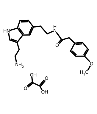 COc1ccc(CC(=O)NCCc2ccc3[nH]cc(CCN)c3c2)cc1.O=C(O)C(=O)O